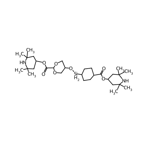 CC1(C)CC(OC(=O)C2CCC([SiH2]OC3COC(C(=O)OC4CC(C)(C)NC(C)(C)C4)OC3)CC2)CC(C)(C)N1